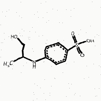 CC(CO)Nc1ccc(S(=O)(=O)O)cc1